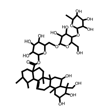 CC1CCC2(C(=O)OC3OC(COC4OC(CO)C(OC5OC(C)C(O)C(O)C5O)C(O)C4O)C(O)C(O)C3O)CCC3(C)C(=CCC4C5(C)CC(O)C(O)C(C)(CO)C5C(O)CC43C)C2C1C